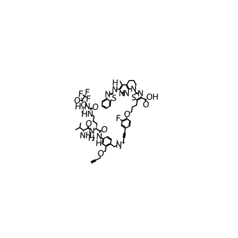 C#CCOCc1cc(NC(=O)[C@H](CCCNC(N)=O)NC(=O)[C@@H](N)C(C)C)ccc1C[N+](C)(C)CC#Cc1ccc(OCCCc2sc(N3CCCc4c3nnc(Nc3nc5ccccc5s3)c4C)nc2C(=O)O)c(F)c1.O=C([O-])C(F)(F)F